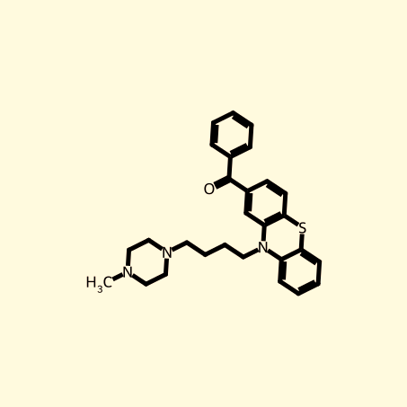 CN1CCN(CCCCN2c3ccccc3Sc3ccc(C(=O)c4ccccc4)cc32)CC1